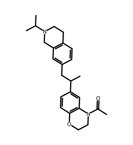 CC(=O)N1CCOc2ccc(C(C)Cc3ccc4c(c3)CN(C(C)C)CC4)cc21